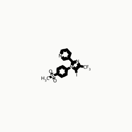 CS(=O)(=O)c1ccc(-n2c(-c3cccnc3)nc(C(F)(F)F)c2I)cc1